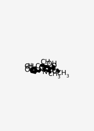 CCOC(=O)c1c(C)nc2c(c(C)c(C)n2Cc2ccc(OC)cc2)c1O